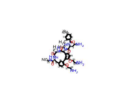 CCC(C)c1ccc(C(=O)N[C@@H](CCN)C(=O)N(C)[C@@H]2C(=O)N[C@@H](C)C(=O)N[C@H](C(=O)NCC#N)Cc3ccc(OCCN)c(c3)-c3cc2ccc3OCCN)c(C)c1